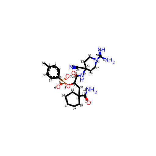 Cc1ccc(S(=O)(=O)OC(CC2(C(N)=O)CCCCC2)C(=O)NC2(C#N)CCN(C(=N)N)CC2)cc1